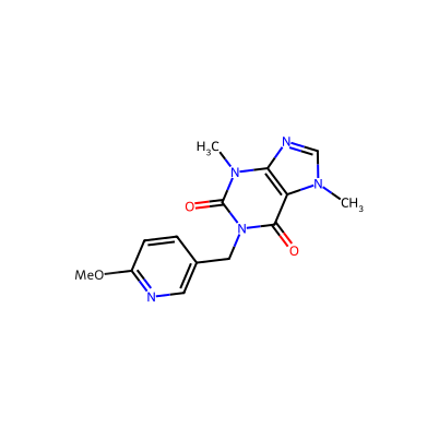 COc1ccc(Cn2c(=O)c3c(ncn3C)n(C)c2=O)cn1